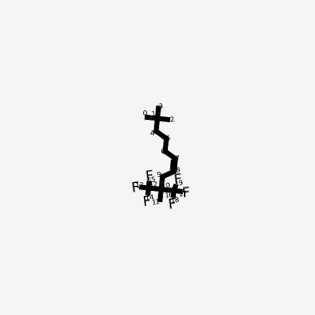 CC(C)(C)CCC/C=C\CC(C)(C(F)(F)F)C(F)(F)F